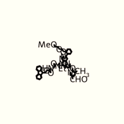 CC[C@@]12C[C@@H](Oc3ncc(C=O)cc3C)CN1c1cc(-c3ccccc3OCOCCOC)nnc1N(CNC(=O)CNC(=O)OCC1c3ccccc3-c3ccccc31)C2